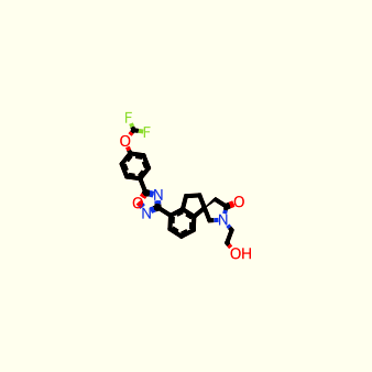 O=C1C[C@@]2(CCc3c(-c4noc(-c5ccc(OC(F)F)cc5)n4)cccc32)CN1CCO